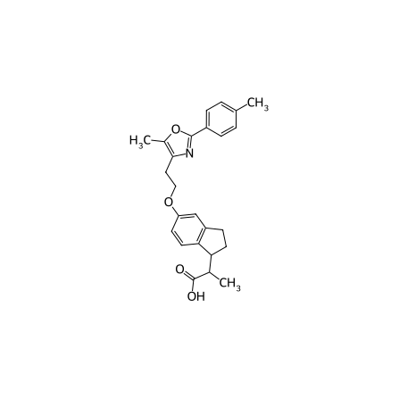 Cc1ccc(-c2nc(CCOc3ccc4c(c3)CCC4C(C)C(=O)O)c(C)o2)cc1